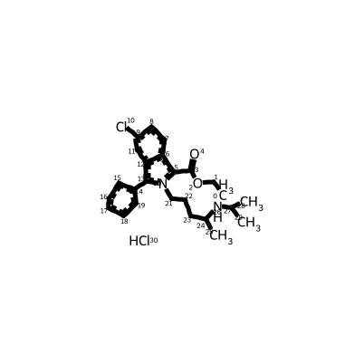 CCOC(=O)c1c2ccc(Cl)cc2c(-c2ccccc2)n1CCCC(C)NC(C)C.Cl